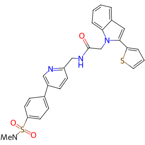 CNS(=O)(=O)c1ccc(-c2ccc(CNC(=O)Cn3c(-c4cccs4)cc4ccccc43)nc2)cc1